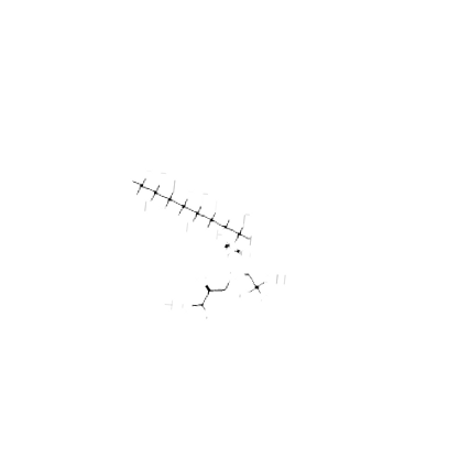 CC(C)C(=O)C[S+](CC(C)(C)C)OS(=O)(=O)C(F)(F)C(F)(F)C(F)(F)C(F)(F)C(F)(F)C(F)(F)C(F)(F)C(F)(F)F